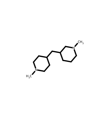 CN1CCC(CC2CCCN(C)C2)CC1